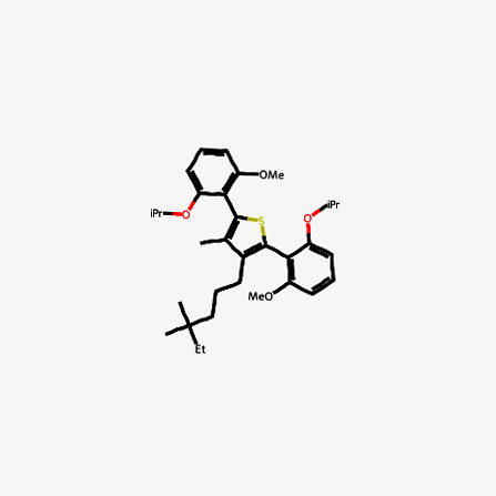 CCC(C)(C)CCCc1c(-c2c(OC)cccc2OC(C)C)sc(-c2c(OC)cccc2OC(C)C)c1C